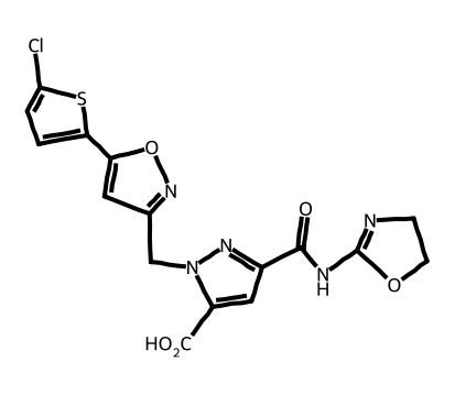 O=C(NC1=NCCO1)c1cc(C(=O)O)n(Cc2cc(-c3ccc(Cl)s3)on2)n1